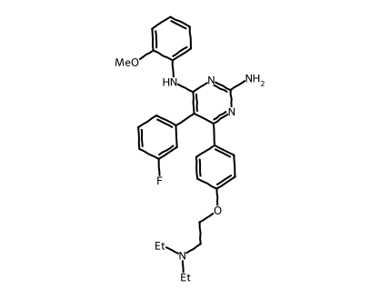 CCN(CC)CCOc1ccc(-c2nc(N)nc(Nc3ccccc3OC)c2-c2cccc(F)c2)cc1